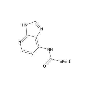 CCCCCC(=O)Nc1ncnc2[nH]cnc12